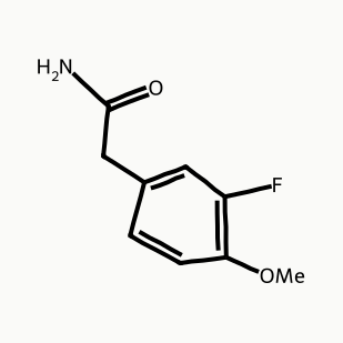 COc1ccc(CC(N)=O)cc1F